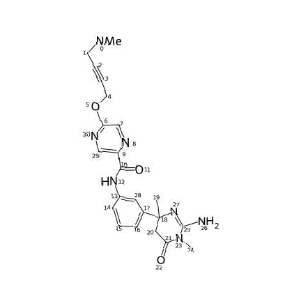 CNCC#CCOc1cnc(C(=O)Nc2cccc(C3(C)CC(=O)N(C)C(N)=N3)c2)cn1